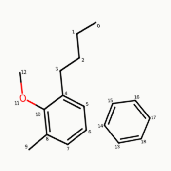 CCCCc1cccc(C)c1OC.c1ccccc1